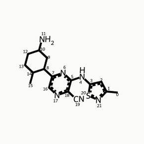 Cc1cc(Nc2nc(C3CC(N)CCC3C)cnc2C#N)sn1